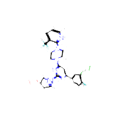 O[C@H]1CCN(c2nc(-c3ccc(F)c(Cl)c3)cc(N3CCN(c4ncccc4C(F)(F)F)CC3)n2)C1